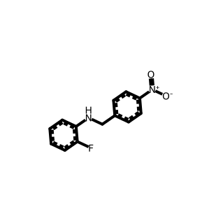 O=[N+]([O-])c1ccc(CNc2ccccc2F)cc1